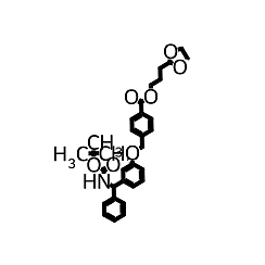 CC(C)(C)OC(=O)NC(c1ccccc1)c1cccc(OCc2ccc(C(=O)OCCCC3OCCO3)cc2)c1